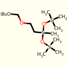 CC(C)COCOCC[Si](C)(O[Si](C)(C)C)O[Si](C)(C)C